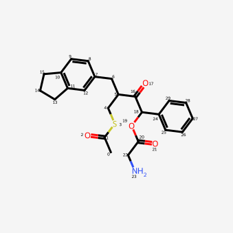 CC(=O)SCC(Cc1ccc2c(c1)CCC2)C(=O)C(OC(=O)CN)c1ccccc1